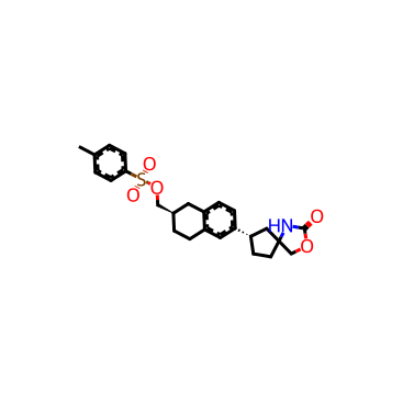 Cc1ccc(S(=O)(=O)OC[C@@H]2CCc3cc([C@H]4CCC5(COC(=O)N5)C4)ccc3C2)cc1